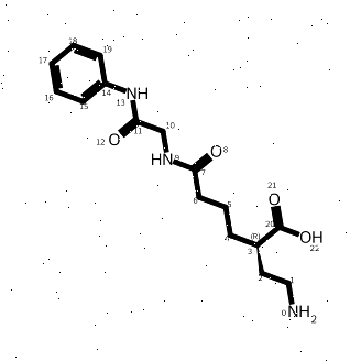 NCC[C@@H](CCCC(=O)NCC(=O)Nc1ccccc1)C(=O)O